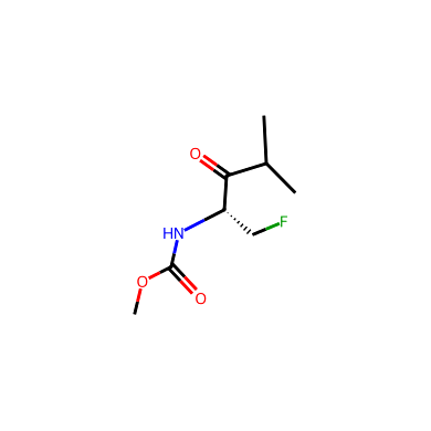 COC(=O)N[C@@H](CF)C(=O)C(C)C